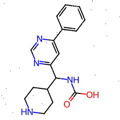 O=C(O)NC(c1cc(-c2ccccc2)ncn1)C1CCNCC1